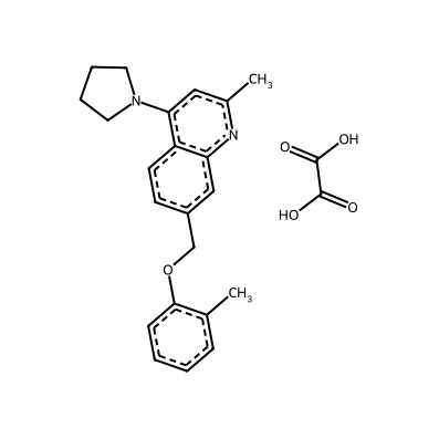 Cc1cc(N2CCCC2)c2ccc(COc3ccccc3C)cc2n1.O=C(O)C(=O)O